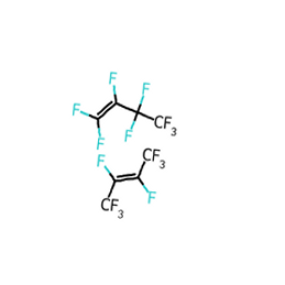 FC(=C(F)C(F)(F)F)C(F)(F)F.FC(F)=C(F)C(F)(F)C(F)(F)F